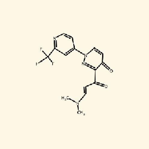 CN(C)/C=C/C(=O)c1nn(-c2ccnc(C(F)(F)F)c2)ccc1=O